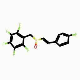 [O-][S+](C=Cc1ccc(F)cc1)Cc1c(F)c(F)c(F)c(F)c1F